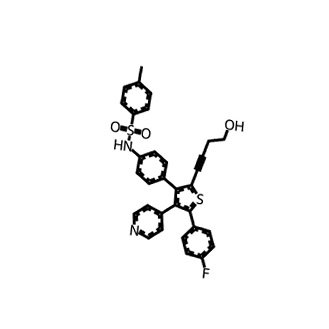 Cc1ccc(S(=O)(=O)Nc2ccc(-c3c(C#CCCO)sc(-c4ccc(F)cc4)c3-c3ccncc3)cc2)cc1